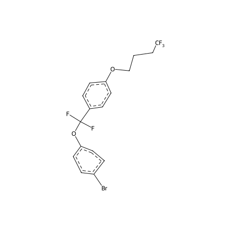 FC(F)(F)CCCOc1ccc(C(F)(F)Oc2ccc(Br)cc2)cc1